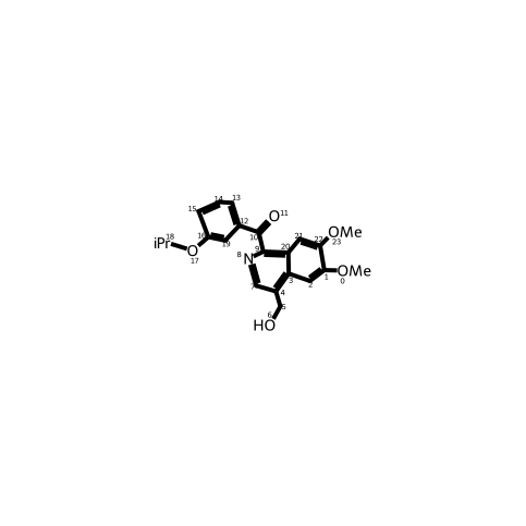 COc1cc2c(CO)cnc(C(=O)c3cccc(OC(C)C)c3)c2cc1OC